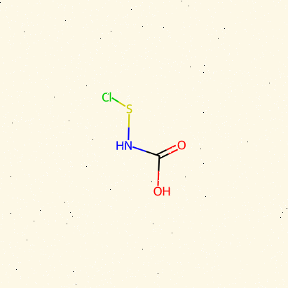 O=C(O)NSCl